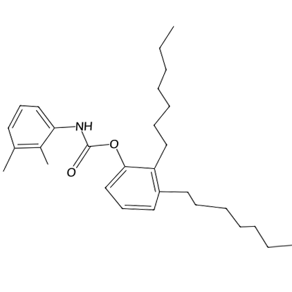 CCCCCCCc1cccc(OC(=O)Nc2cccc(C)c2C)c1CCCCCCC